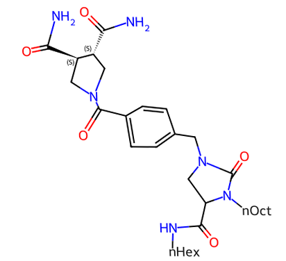 CCCCCCCCN1C(=O)N(Cc2ccc(C(=O)N3C[C@@H](C(N)=O)[C@H](C(N)=O)C3)cc2)CC1C(=O)NCCCCCC